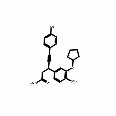 COC(=O)CC(C#Cc1ccc(C#N)cc1)c1ccc(OC)c(OC2CCCC2)c1